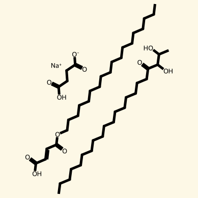 CCCCCCCCCCCCCCCCCC(=O)C(O)C(C)O.CCCCCCCCCCCCCCCCCCOC(=O)C=CC(=O)O.O=C([O-])CCC(=O)O.[Na+]